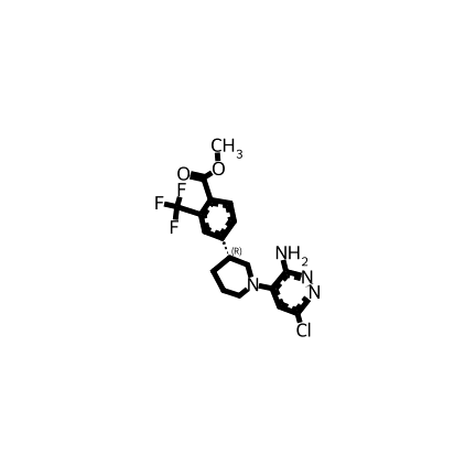 COC(=O)c1ccc([C@H]2CCCN(c3cc(Cl)nnc3N)C2)cc1C(F)(F)F